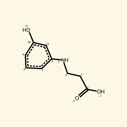 O=C(O)CCNc1cccc(O)c1